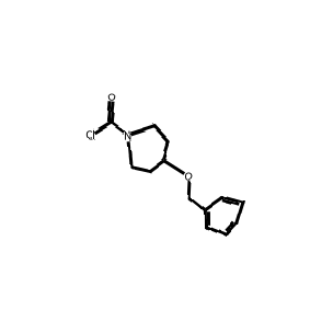 O=C(Cl)N1CCC(OCc2ccccc2)CC1